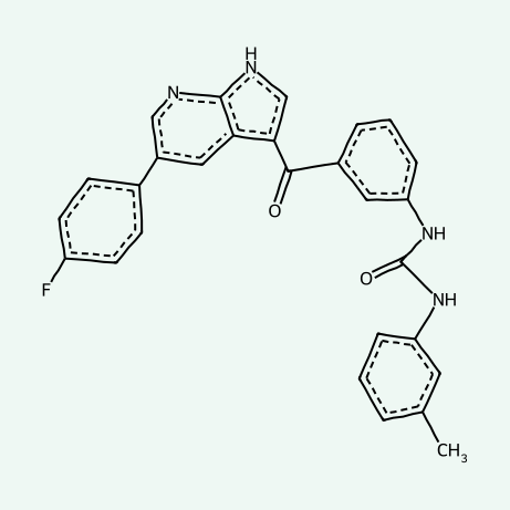 Cc1cccc(NC(=O)Nc2cccc(C(=O)c3c[nH]c4ncc(-c5ccc(F)cc5)cc34)c2)c1